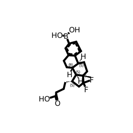 C[C@]12CC[C@@H]3c4ccc(B(O)O)cc4CC[C@H]3[C@@H]1[C@@H](CCCC(=O)O)CC2(F)F